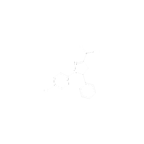 O=C(O)C1=NN(c2ccc(Cl)cc2)C(c2ccccc2)C1